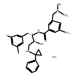 CCCCN(C)Cc1cc(C)cc(C(=O)N[C@@H](Cc2cc(F)cc(F)c2)[C@@H](O)CNC2(c3ccccc3)CC2)c1.Cl